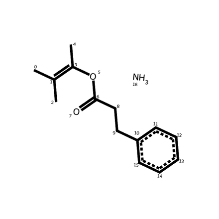 CC(C)=C(C)OC(=O)CCc1ccccc1.N